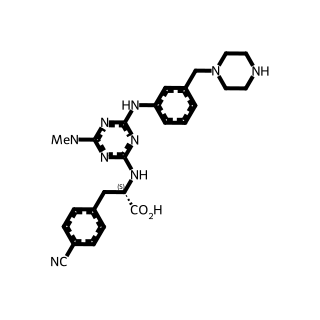 CNc1nc(Nc2cccc(CN3CCNCC3)c2)nc(N[C@@H](Cc2ccc(C#N)cc2)C(=O)O)n1